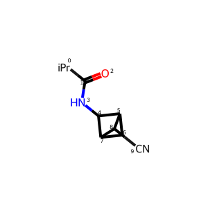 CC(C)C(=O)NC1C2CC1C2C#N